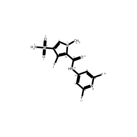 Cn1cc(S(N)(=O)=O)c(F)c1C(=O)Nc1cc(F)nc(F)c1